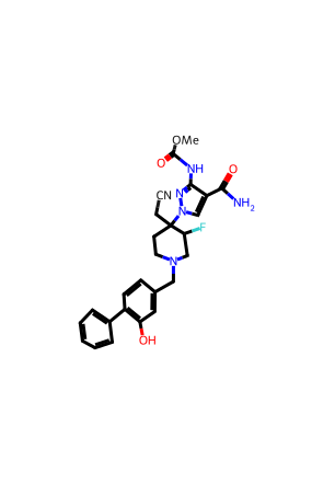 COC(=O)Nc1nn(C2(CC#N)CCN(Cc3ccc(-c4ccccc4)c(O)c3)CC2F)cc1C(N)=O